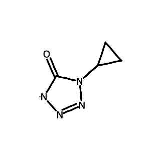 O=C1[N]N=NN1C1CC1